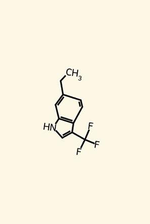 CCc1ccc2c(C(F)(F)F)c[nH]c2c1